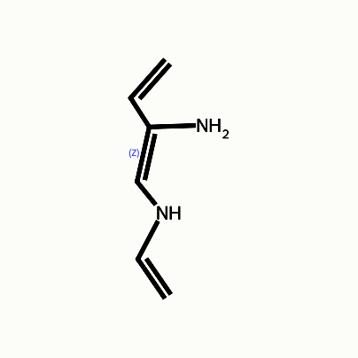 C=CN/C=C(\N)C=C